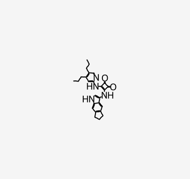 CCCc1cnc(Nc2c(Nc3c[nH]c4cc5c(cc34)CCC5)c(=O)c2=O)cc1CCC